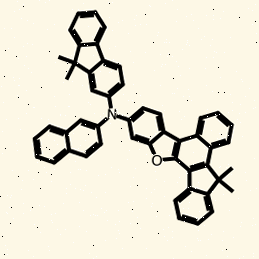 CC1(C)c2ccccc2-c2ccc(N(c3ccc4ccccc4c3)c3ccc4c(c3)oc3c5c(c6ccccc6c34)C(C)(C)c3ccccc3-5)cc21